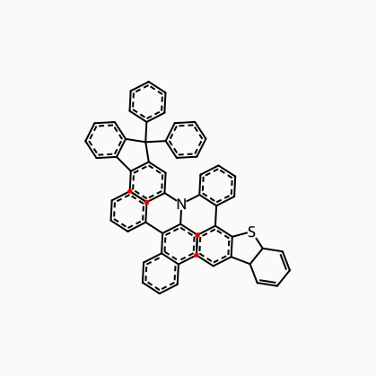 C1=CC2Sc3c(-c4ccccc4N(c4ccc5c(c4)C(c4ccccc4)(c4ccccc4)c4ccccc4-5)c4ccc5ccccc5c4-c4ccccc4)cccc3C2C=C1